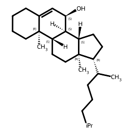 CC(C)CCCC(C)[C@H]1CC[C@H]2[C@@H]3[C@H](O)C=C4CCCC[C@]4(C)[C@H]3CC[C@]12C